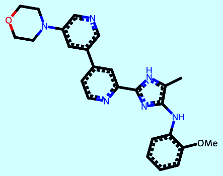 COc1ccccc1Nc1nc(-c2cc(-c3cncc(N4CCOCC4)c3)ccn2)[nH]c1C